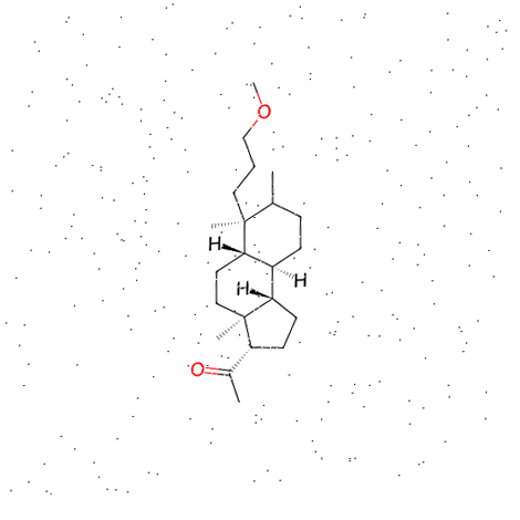 COCCC[C@@]1(C)C(C)CC[C@H]2[C@@H]3CC[C@H](C(C)=O)[C@@]3(C)CC[C@@H]21